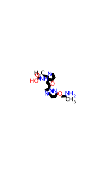 CC(NC(=O)O)c1nccc2oc(-c3cnc4ccc(OC[C@H](C)N)nn34)cc12